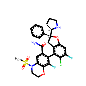 CS(=O)(=O)N1CCOc2c1cc(C(N)=O)c(-c1c(Cl)c(F)cc3c1C[C@](c1ccccc1)([C@@H]1CCCN1)O3)c2F